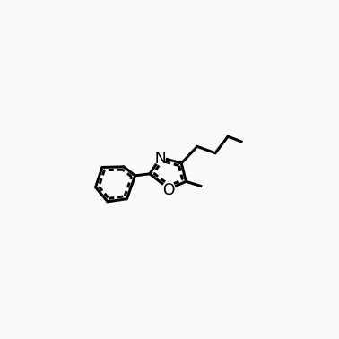 CCCCc1nc(-c2ccccc2)oc1C